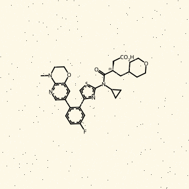 CN1CCOc2cc(-c3ccc(F)cc3-c3csc(N(C(=O)[C@@H](CC(=O)O)CC4CCOCC4)C4CC4)n3)cnc21